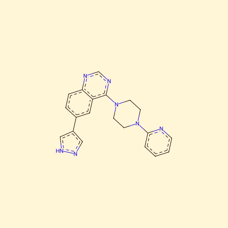 c1ccc(N2CCN(c3ncnc4ccc(-c5cn[nH]c5)cc34)CC2)nc1